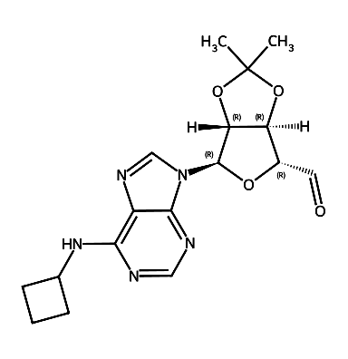 CC1(C)O[C@@H]2[C@@H](O1)[C@H](n1cnc3c(NC4CCC4)ncnc31)O[C@H]2C=O